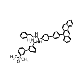 CP(C)(=O)c1cccc(-c2cccc(C(N)NC(NCCc3ccccc3)c3ccc(-c4ccc(-c5c6ccccc6cc6c5ccc5ccccc56)cc4)cc3)c2)c1